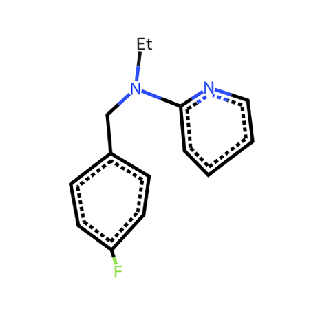 [CH2]CN(Cc1ccc(F)cc1)c1ccccn1